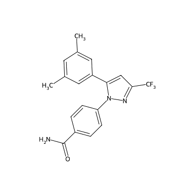 Cc1cc(C)cc(-c2cc(C(F)(F)F)nn2-c2ccc(C(N)=O)cc2)c1